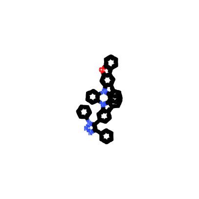 c1ccc(-c2nnn(-c3ccccc3)c2-c2ccc3c4ccccc4n(-c4ccccc4-n4c5ccccc5c5cc6c(cc54)oc4ccccc46)c3c2)cc1